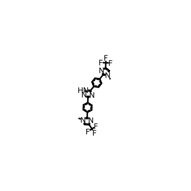 Cn1cc(C(F)(F)F)nc1-c1ccc(-c2n[nH]c(-c3ccc(-c4nc(C(F)(F)F)cn4C)cc3)n2)cc1